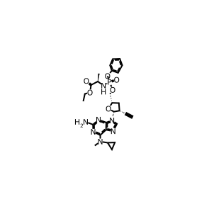 C#C[C@H]1C[C@@H](CO[P@@](=O)(N[C@H](C)C(=O)OCC)Oc2ccccc2)O[C@H]1n1cnc2c(N(C)C3CC3)nc(N)nc21